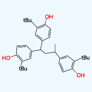 CC(CC(c1ccc(O)c(C(C)(C)C)c1)c1ccc(O)c(C(C)(C)C)c1)c1ccc(O)c(C(C)(C)C)c1